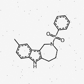 Cc1ccc2[nH]c3c(c2c1)CN(S(=O)(=O)c1ccccc1)CCC3